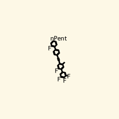 CCCCCc1ccc(-c2ccc(C#Cc3cc(F)c(-c4cc(F)c(F)c(F)c4)cc3C)cc2)c(F)c1